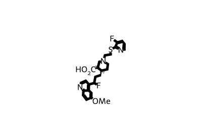 COc1ccc2nccc(C(F)CC[C@@H]3CCN(CCSc4ncccc4F)C[C@@H]3C(=O)O)c2c1